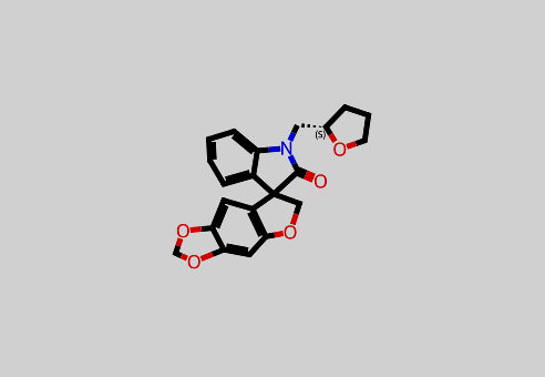 O=C1N(C[C@@H]2CCCO2)c2ccccc2C12COc1cc3c(cc12)OCO3